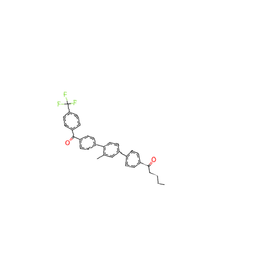 CCCCC(=O)c1ccc(-c2ccc(-c3ccc(C(=O)c4ccc(C(F)(F)F)cc4)cc3)c(C)c2)cc1